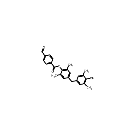 Cc1cc(Cc2cc(C)c(OC(=O)c3ccc(C=O)cc3)c(C)c2)cc(C)c1O